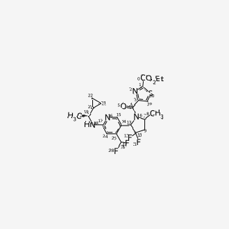 CCOC(=O)c1nc(C(=O)N2C(C)CC(F)(F)C2c2cnc(N[C@@H](C)C3CC3)cc2C(F)F)cs1